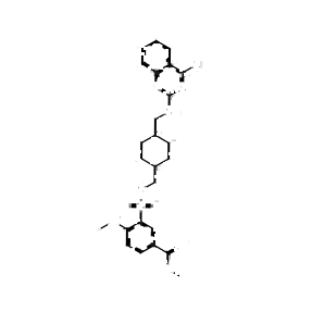 COC(=O)c1ccc(OC)c(S(=O)(=O)NCC2CCC(CNc3nc(N)c4ccccc4n3)CC2)c1